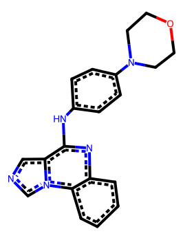 c1ccc2c(c1)nc(Nc1ccc(N3CCOCC3)cc1)c1cncn12